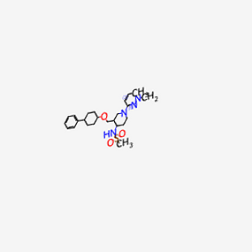 C=N/N=C(\C=C/C)N1CCC(NS(C)(=O)=O)C(COC2CCC(c3ccccc3)CC2)C1